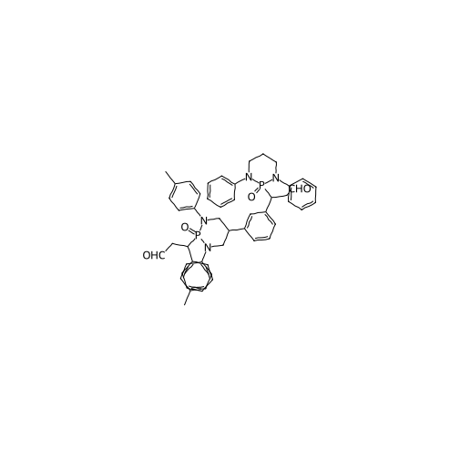 Cc1ccc(N2CC(c3cccc(C(CC=O)P4(=O)N(c5ccccc5)CCCN4c4ccccc4)c3)CN(c3ccc(C)cc3)P2(=O)C(CC=O)c2ccccc2)cc1